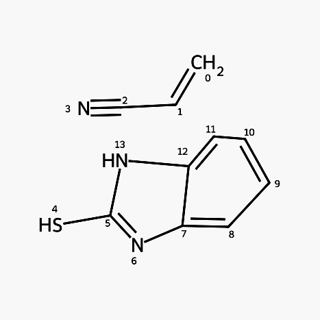 C=CC#N.Sc1nc2ccccc2[nH]1